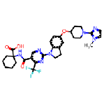 Cn1ccnc1N1CCC(Oc2ccc3c(c2)CCN3c2ncc(C(=O)NC3(C(=O)O)CCCCC3)c(C(F)(F)F)n2)CC1